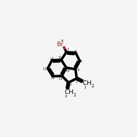 C=C1C(=C)c2ccc(Br)c3cccc1c23